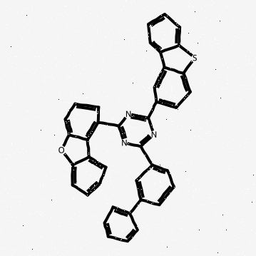 c1ccc(-c2cccc(-c3nc(-c4ccc5sc6ccccc6c5c4)nc(-c4cccc5oc6ccccc6c45)n3)c2)cc1